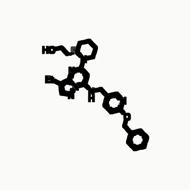 CCc1cnn2c(NCc3ccc(OCc4ccccc4)nc3)cc(N3CCCC[C@H]3CCO)nc12